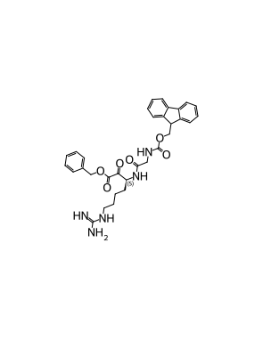 N=C(N)NCCCC[C@H](NC(=O)CNC(=O)OCC1c2ccccc2-c2ccccc21)C(=O)C(=O)OCc1ccccc1